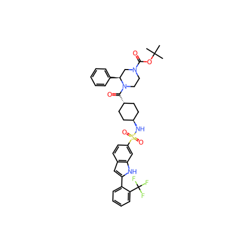 CC(C)(C)OC(=O)N1CCN(C(=O)[C@H]2CC[C@H](NS(=O)(=O)c3ccc4cc(-c5ccccc5C(F)(F)F)[nH]c4c3)CC2)[C@@H](c2ccccc2)C1